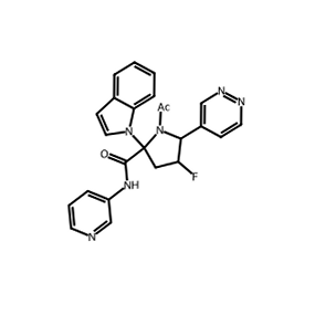 CC(=O)N1C(c2ccnnc2)C(F)CC1(C(=O)Nc1cccnc1)n1ccc2ccccc21